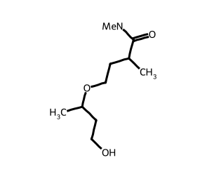 CNC(=O)C(C)CCOC(C)CCO